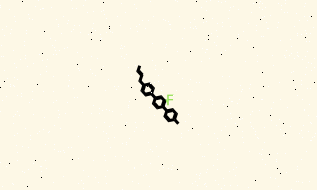 CC=CCc1ccc(-c2ccc(-c3ccc(C)cc3)c(F)c2)cc1